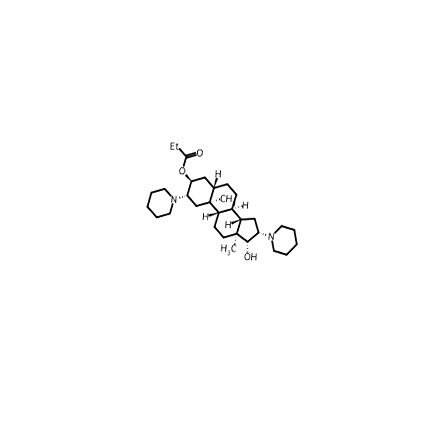 CCC(=O)O[C@H]1C[C@@H]2CC[C@@H]3[C@H](CC[C@]4(C)[C@@H](O)[C@@H](N5CCCCC5)C[C@@H]34)[C@@]2(C)C[C@@H]1N1CCCCC1